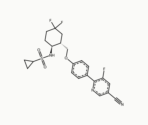 N#Cc1cnc(-c2ccc(OC[C@H]3CC(F)(F)CC[C@@H]3NS(=O)(=O)C3CC3)cc2)c(F)c1